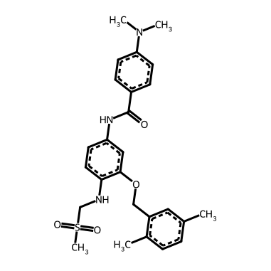 Cc1ccc(C)c(COc2cc(NC(=O)c3ccc(N(C)C)cc3)ccc2NCS(C)(=O)=O)c1